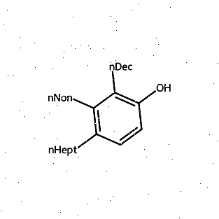 CCCCCCCCCCc1c(O)ccc(CCCCCCC)c1CCCCCCCCC